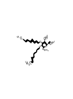 CCCCC=CC=CO[C@H]1[C@H](O)[C@@H](CO)OC(OC)[C@@H]1OC=CC=CCCCC